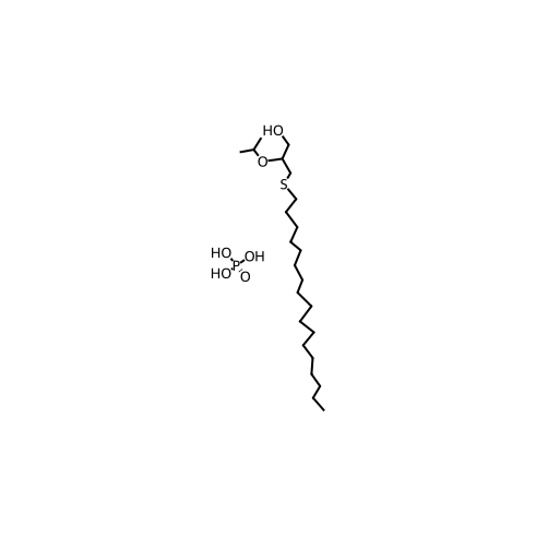 CCCCCCCCCCCCCCCCCSCC(CO)OC(C)C.O=P(O)(O)O